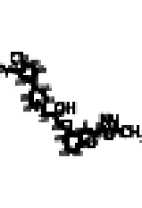 Cc1nnc(-c2cc3c(OCC(O)CN4CCC(c5ccc(Cl)c(C(C)C)c5)CC4)cccc3o2)o1